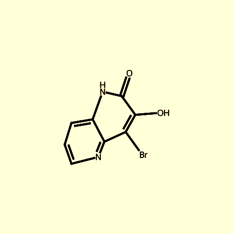 O=c1[nH]c2cccnc2c(Br)c1O